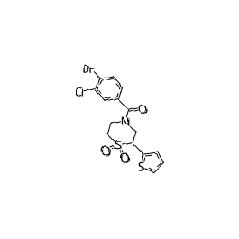 O=C(c1ccc(Br)c(Cl)c1)N1CCS(=O)(=O)C(c2cccs2)C1